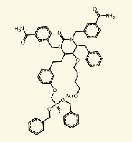 COCCOCOC1C(CCc2cccc(OCP(=O)(OCc3ccccc3)OCc3ccccc3)c2)N(Cc2cccc(C(N)=O)c2)C(=O)N(Cc2cccc(C(N)=O)c2)C1Cc1ccccc1